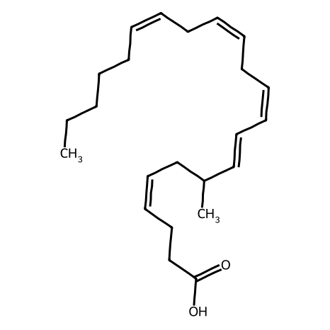 CCCCC/C=C\C/C=C\C/C=C\C=C\C(C)C/C=C\CCC(=O)O